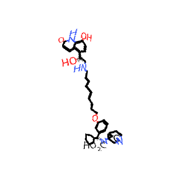 O=C(O)N(C1CN2CCC1CC2)[C@@H](c1cccc(OCCCCCCCCCNC[C@H](O)c2ccc(O)c3[nH]c(=O)ccc23)c1)C1CCCCC1